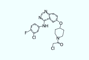 O=C(CCl)N1CCC(Oc2ccc3ncnc(Nc4ccc(F)c(Cl)c4)c3c2)CC1